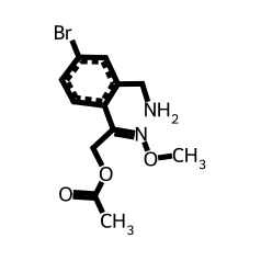 CON=C(COC(C)=O)c1ccc(Br)cc1CN